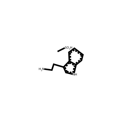 CS(=O)(=O)O.NCCc1c[nH]c2ccccc12